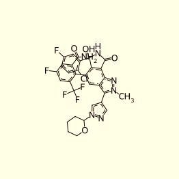 Cn1nc2c3c(c(-c4c(C(N)=O)cc(F)cc4C(F)(F)F)cc2c1-c1cnn(C2CCCCO2)c1)C(O)(c1cc(F)ccc1Cl)NC3=O